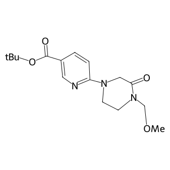 COCN1CCN(c2ccc(C(=O)OC(C)(C)C)cn2)CC1=O